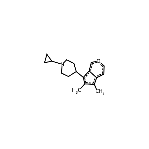 Cc1c2ccocc-2c(C2CCN(C3CC3)CC2)c1C